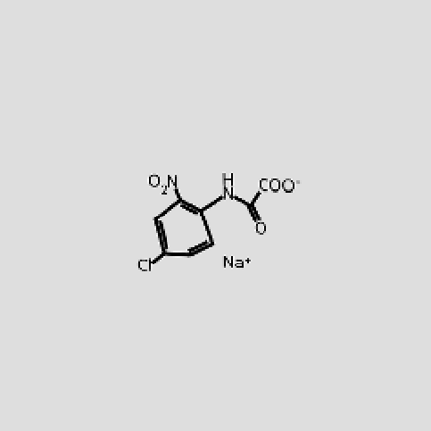 O=C([O-])C(=O)Nc1ccc(Cl)cc1[N+](=O)[O-].[Na+]